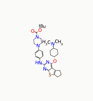 CN(C)[C@H]1CC[C@H](Oc2nc(Nc3ccc(N4CCN(C(=O)OC(C)(C)C)CC4)cc3)nc3sc4c(c23)CCC4)CC1